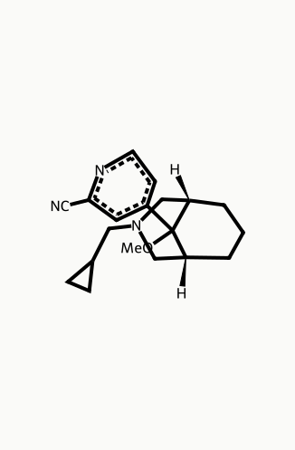 COC1(c2ccnc(C#N)c2)[C@@H]2CCC[C@H]1CN(CC1CC1)C2